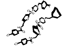 O=C(NCc1ccc(S(=O)(=O)N2CCN(CCc3ccccc3)CC2)s1)c1ccc(Cl)cc1.O=C(NCc1ccc(S(=O)(=O)N2CCN(Cc3ccc(F)cc3)CC2)s1)c1ccc(Cl)cc1